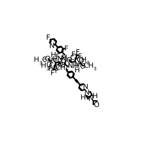 COC(=O)N[C@H](C(=O)N[C@@H](Cc1ccc(C#Cc2ccc(N3C[C@H]4C[C@@H]3CN4C3COC3)nc2)cc1)[C@@H](O)CN(Cc1c(F)cc(-c2ccc(F)cn2)cc1F)NC(=O)[C@@H](NC(=O)OC)C(C)(C)C(F)(F)F)C(C)(C)C(F)(F)F